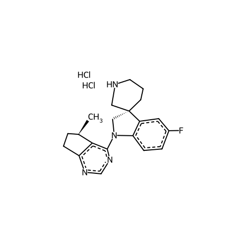 C[C@@H]1CCc2ncnc(N3C[C@]4(CCCNC4)c4cc(F)ccc43)c21.Cl.Cl